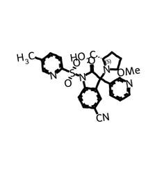 COc1ncccc1C1(N2CCC[C@H]2C(=O)O)C(=O)N(S(=O)(=O)c2ccc(C)cn2)c2ccc(C#N)cc21